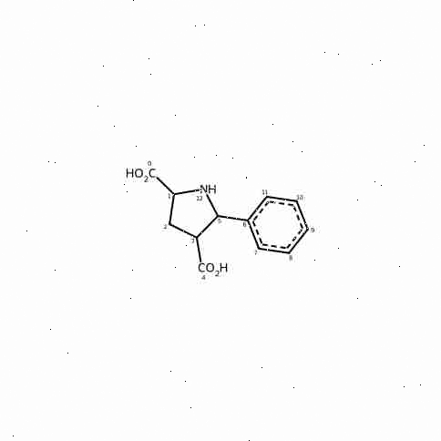 O=C(O)C1CC(C(=O)O)C(c2ccccc2)N1